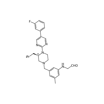 Cc1cc(CN2CCN(c3ncc(-c4cccc(F)c4)cn3)[C@H](CC(C)C)C2)cc(NCC=O)c1